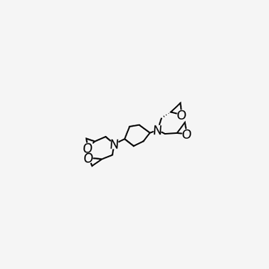 C1OC1CN(CC1CO1)C1CCC(N(CC2CO2)C[C@@H]2CO2)CC1